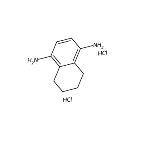 Cl.Cl.Nc1ccc(N)c2c1CCCC2